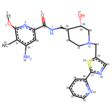 CCOc1nc(C(=O)NC[C@@H]2CCN(Cc3cnc(-c4ccccn4)s3)C[C@H]2O)cc(N)c1C#N